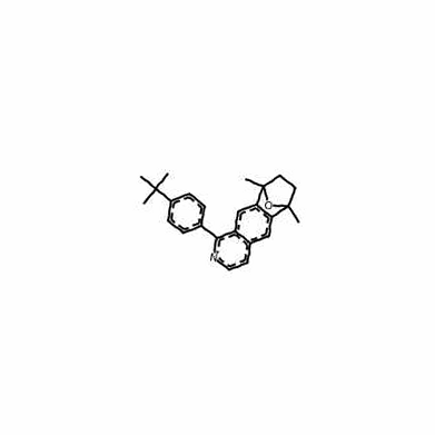 CC(C)(C)c1ccc(-c2nccc3cc4c(cc23)C2(C)CCC4(C)O2)cc1